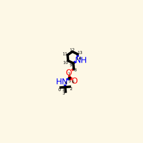 CC(C)(C)NC(=O)OCC1CCCCN1